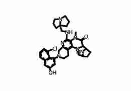 CN1C(=O)C2C3CCC(CN2c2c4c(nc(NCC56CCCN5CCC6)c21)CN(c1cc(O)cc2cccc(Cl)c12)CC4)N3